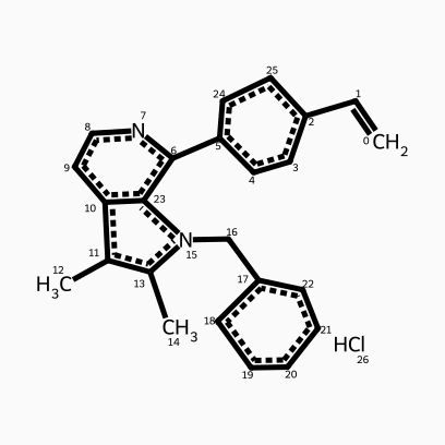 C=Cc1ccc(-c2nccc3c(C)c(C)n(Cc4ccccc4)c23)cc1.Cl